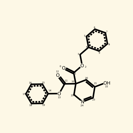 O=C(OCc1ccccc1)C1(C(=O)Oc2ccccc2)C=C(O)C=NC1